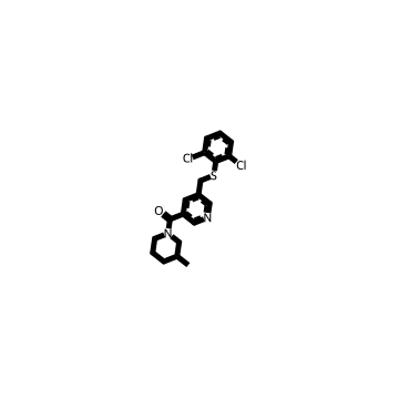 CC1CCCN(C(=O)c2cncc(CSc3c(Cl)cccc3Cl)c2)C1